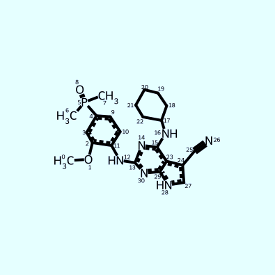 COc1cc(P(C)(C)=O)ccc1Nc1nc(NC2CCCCC2)c2c(C#N)c[nH]c2n1